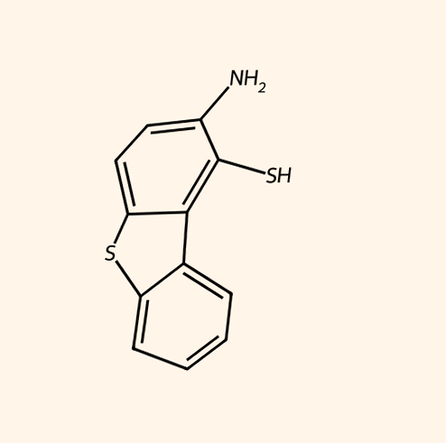 Nc1ccc2sc3ccccc3c2c1S